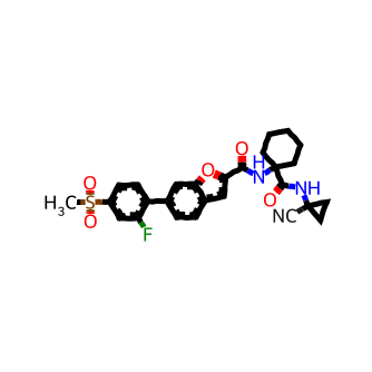 CS(=O)(=O)c1ccc(-c2ccc3cc(C(=O)NC4(C(=O)NC5(C#N)CC5)CCCCC4)oc3c2)c(F)c1